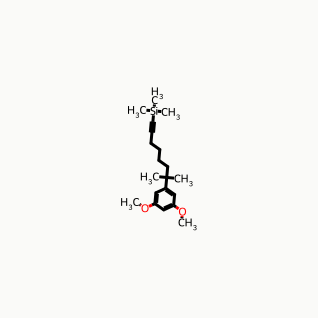 COc1cc(OC)cc(C(C)(C)CCCCC#C[Si](C)(C)C)c1